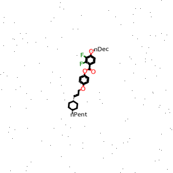 CCCCCCCCCCOc1ccc(C(=O)Oc2ccc(OC/C=C/[C@H]3CC[C@H](CCCCC)CC3)cc2)c(F)c1F